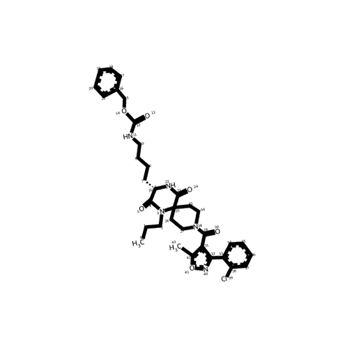 CCCN1C(=O)[C@H](CCCCNC(=O)OCc2ccccc2)NC(=O)C12CCN(C(=O)c1c(-c3ccccc3Cl)noc1C)CC2